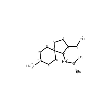 CC(C)(C)[S@@+]([O-])NC1C(CO)CCC12CCN(C(=O)O)CC2